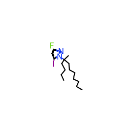 CCCCCCCC(C)(CCCC)n1nc(F)cc1I